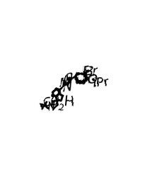 CC(C)Oc1ccc(-c2nc(-c3cccc4c3CCC43CCN(CC4(C(=O)O)CC4)C3)no2)cc1Br